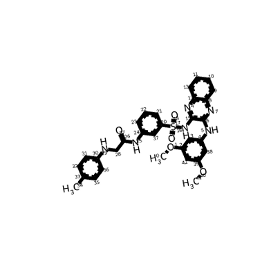 COc1cc(Nc2nc3ccccc3nc2NS(=O)(=O)c2cccc(NC(=O)CNc3ccc(C)cc3)c2)cc(OC)c1